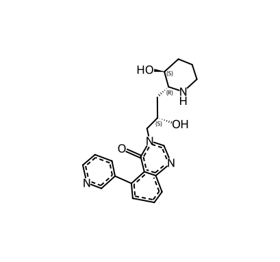 O=c1c2c(-c3cccnc3)cccc2ncn1C[C@@H](O)C[C@H]1NCCC[C@@H]1O